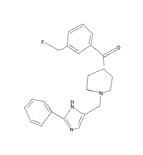 O=C(c1cccc(CF)c1)C1CCN(Cc2cnc(-c3ccccc3)[nH]2)CC1